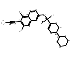 Fc1cc2cc(OC(F)(F)C3=CCC(C4CCCCC4)CC3)ccc2c(F)c1C#CC(F)(F)F